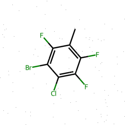 Cc1c(F)c(F)c(Cl)c(Br)c1F